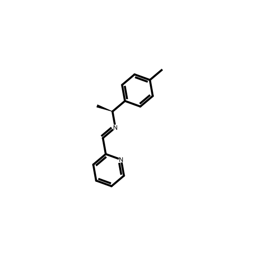 Cc1ccc([C@H](C)/N=C/c2ccccn2)cc1